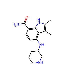 Cc1[nH]c2c(C(N)=O)ccc(NC3CCCNC3)c2c1C